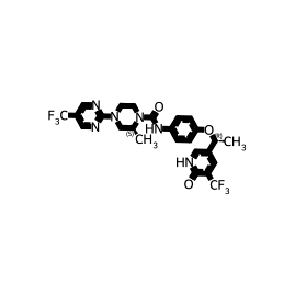 C[C@@H](Oc1ccc(NC(=O)N2CCN(c3ncc(C(F)(F)F)cn3)C[C@@H]2C)cc1)c1c[nH]c(=O)c(C(F)(F)F)c1